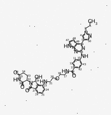 CCCn1cc(-c2nc(Nc3ccc(C(=O)NCCOCCNc4cccc5c4C(O)N(C4CCC(=O)NC4=O)C5=O)cc3)nc3[nH]ccc23)cn1